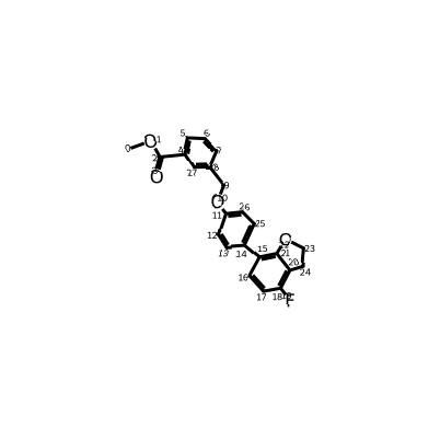 COC(=O)c1cccc(COc2ccc(-c3ccc(F)c4c3OCC4)cc2)c1